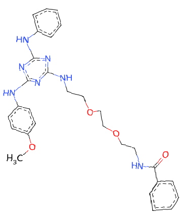 COc1ccc(Nc2nc(NCCOCCOCCNC(=O)c3ccccc3)nc(Nc3ccccc3)n2)cc1